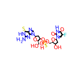 Nc1nc2c(ncn2[C@H]2CC(OP(O)(=S)OC[C@H]3O[C@@H](n4cc(F)c(=O)[nH]c4=O)CC3O)[C@@H](CO)O2)c(=S)[nH]1